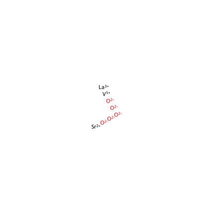 [La+3].[O-2].[O-2].[O-2].[O-2].[O-2].[Sr+2].[V+5]